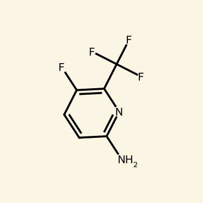 Nc1ccc(F)c(C(F)(F)F)n1